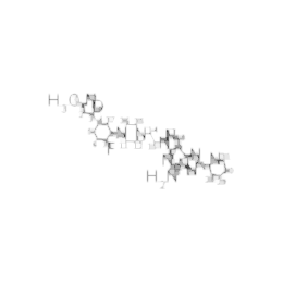 Cc1cc(-c2ccc(F)c(N3CCN(CCn4ncc5c4nc(N)n4nc(-c6ccccn6)nc54)CC3)c2)on1